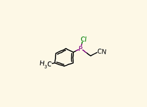 Cc1ccc(P(Cl)CC#N)cc1